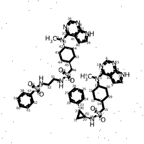 CN(c1ncnc2[nH]ccc12)C1CCC(CS(=O)(=O)N[C@H]2C[C@@H]2c2ccccc2)CC1.CN(c1ncnc2[nH]ccc12)[C@H]1CC[C@H](CS(=O)(=O)NCCNS(=O)(=O)c2ccccc2)CC1